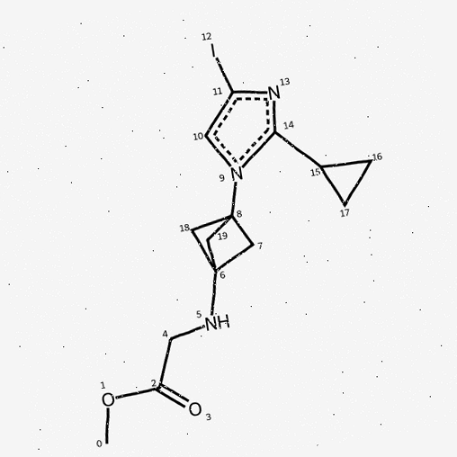 COC(=O)CNC12CC(n3cc(I)nc3C3CC3)(C1)C2